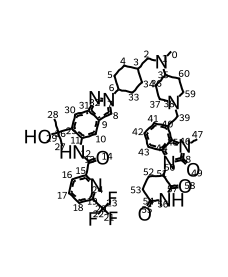 CN(CC1CCC(n2cc3cc(NC(=O)c4cccc(C(F)(F)F)n4)c(C(C)(C)O)cc3n2)CC1)C1CCN(Cc2cccc3c2n(C)c(=O)n3C2CCC(=O)NC2=O)CC1